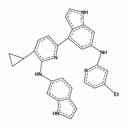 CCc1ccnc(Nc2cc(-c3ccc(C4CC4)c(Nc4ccc5cc[nH]c5c4)n3)c3cc[nH]c3c2)c1